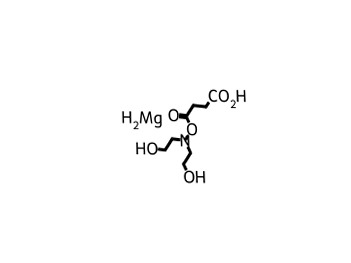 O=C(O)CCC(=O)ON(CCO)CCO.[MgH2]